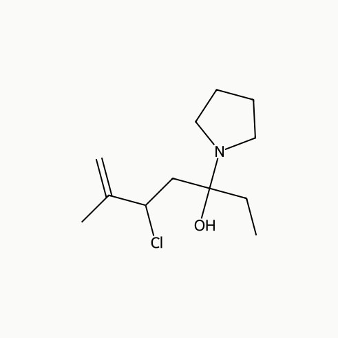 C=C(C)C(Cl)CC(O)(CC)N1CCCC1